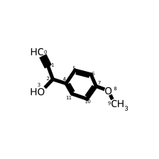 C#CC(O)c1ccc(OC)cc1